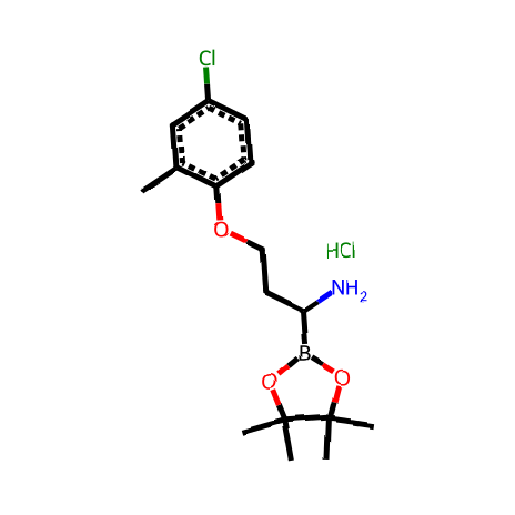 Cc1cc(Cl)ccc1OCCC(N)B1OC(C)(C)C(C)(C)O1.Cl